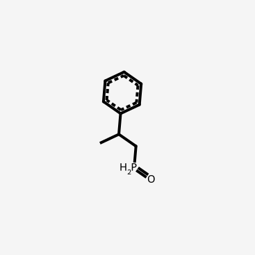 CC(C[PH2]=O)c1ccccc1